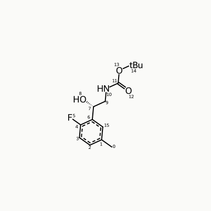 Cc1ccc(F)c([C@H](O)CNC(=O)OC(C)(C)C)c1